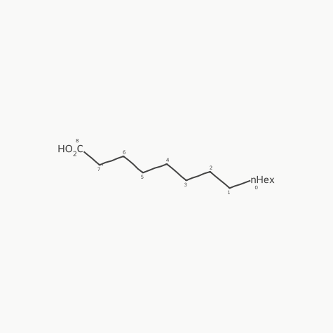 [CH2]CCCCCCCCCCC[CH]C(=O)O